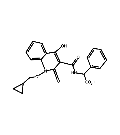 O=C(NC(C(=O)O)c1ccccc1)c1c(O)c2ccccc2n(OCC2CC2)c1=O